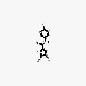 O=C(Nc1cnc(Cl)nc1)c1cc(F)c(F)s1